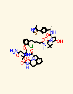 Cc1ncsc1-c1ccc([C@H](C)NC(=O)[C@@H]2C[C@@H](O)CN2C(=O)[C@@H](NC(=O)CCCCc2cccc(OC[C@H](CCC(N)=O)NC(=O)[C@@H]3Cc4cccc5c4N3C(=O)[C@@H](NC(=O)OC(C)(C)C)CC5)c2Cl)C(C)(C)C)cc1